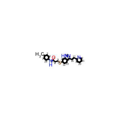 Cc1ccc(NC(=O)CCSc2ccc3c(C=Cc4ccccn4)n[nH]c3c2)cc1